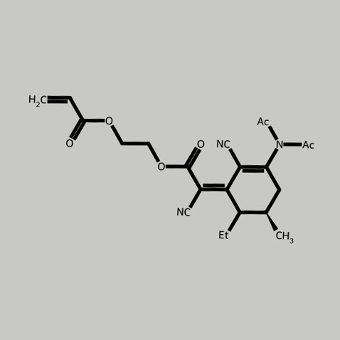 C=CC(=O)OCCOC(=O)/C(C#N)=C1\C(C#N)=C(N(C(C)=O)C(C)=O)C[C@@H](C)C1CC